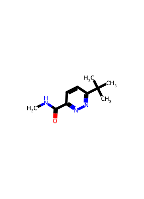 CNC(=O)c1ccc(C(C)(C)C)nn1